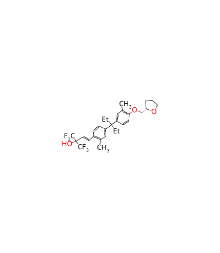 CCC(CC)(c1ccc(C=CC(O)(C(F)(F)F)C(F)(F)F)c(C)c1)c1ccc(OC[C@@H]2CCCO2)c(C)c1